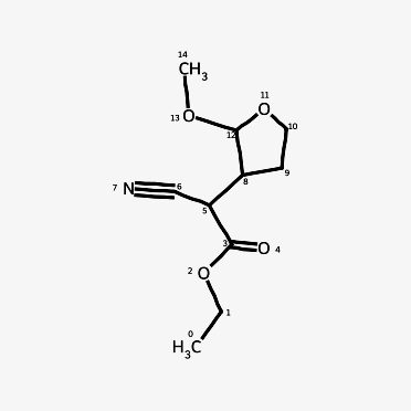 CCOC(=O)C(C#N)C1CCOC1OC